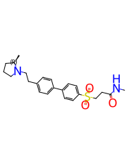 CNC(=O)CCS(=O)(=O)c1ccc(-c2ccc(CCN3CCC[C@H]3C)cc2)cc1